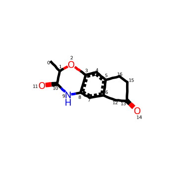 CC1Oc2cc3c(cc2NC1=O)CC(=O)CC3